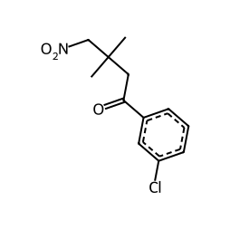 CC(C)(CC(=O)c1cccc(Cl)c1)C[N+](=O)[O-]